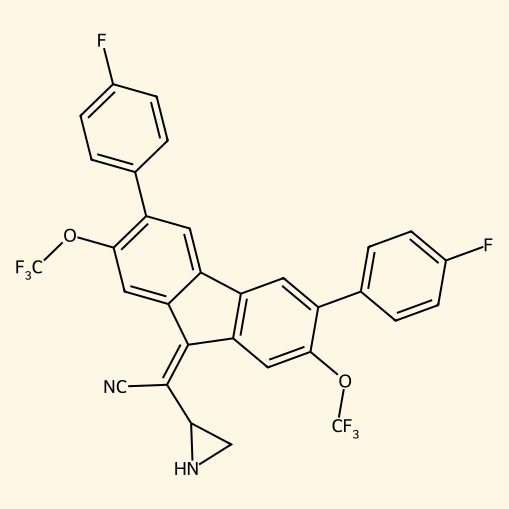 N#CC(=C1c2cc(OC(F)(F)F)c(-c3ccc(F)cc3)cc2-c2cc(-c3ccc(F)cc3)c(OC(F)(F)F)cc21)C1CN1